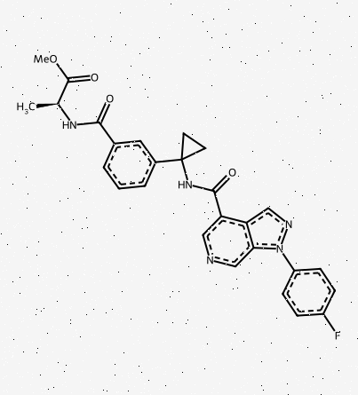 COC(=O)[C@H](C)NC(=O)c1cccc(C2(NC(=O)c3cncc4c3cnn4-c3ccc(F)cc3)CC2)c1